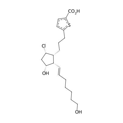 O=C(O)c1ccc(CCC[C@@H]2[C@H](C=CCCCCCO)[C@H](O)C[C@@H]2Cl)s1